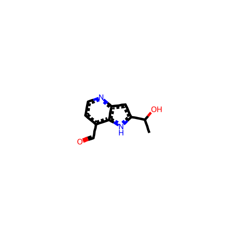 CC(O)c1cc2nccc(C=O)c2[nH]1